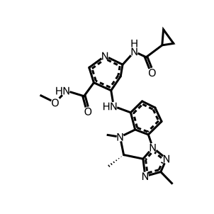 CONC(=O)c1cnc(NC(=O)C2CC2)cc1Nc1cccc2c1N(C)[C@@H](C)c1nc(C)nn1-2